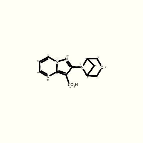 O=C(O)c1c(N2C3COCC2C3)nn2cccnc12